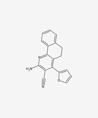 N#Cc1c(N)nc2c(c1-c1ccco1)CCc1ccccc1-2